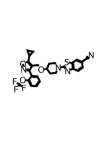 N#Cc1ccc2nc(N3CCC(OCc4c(-c5ccccc5OC(F)(F)F)noc4C4CC4)CC3)sc2c1